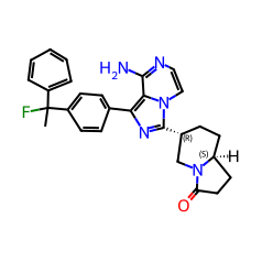 CC(F)(c1ccccc1)c1ccc(-c2nc([C@@H]3CC[C@H]4CCC(=O)N4C3)n3ccnc(N)c23)cc1